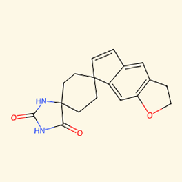 O=C1NC(=O)C2(CCC3(C=Cc4cc5c(cc43)OCC5)CC2)N1